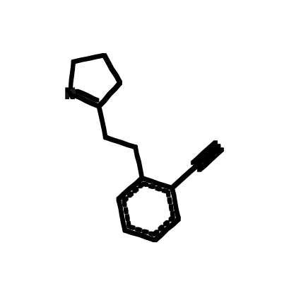 C#Cc1ccccc1CCC1=NCCC1